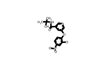 CC(C)(C)NC(=O)c1cncc(Oc2ccc([N+](=O)[O-])cc2Cl)c1